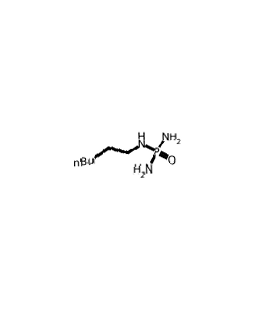 CCCCCCNP(N)(N)=O